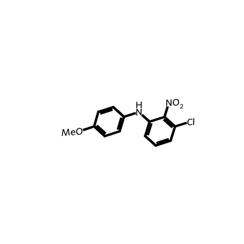 COc1ccc(Nc2cccc(Cl)c2[N+](=O)[O-])cc1